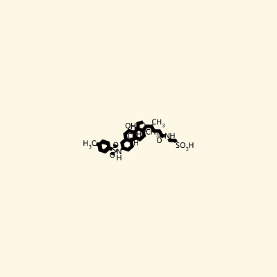 Cc1ccc(S(=O)(=O)N[C@@H]2CC[C@@]3(C)C(C2)C[C@H](O)[C@H]2[C@@H]4CC[C@H]([C@H](C)CCC(=O)NCCS(=O)(=O)O)[C@@]4(C)CC[C@@H]23)cc1